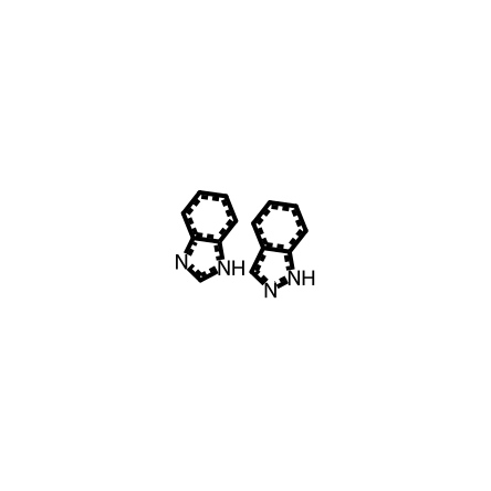 c1ccc2[nH]cnc2c1.c1ccc2[nH]ncc2c1